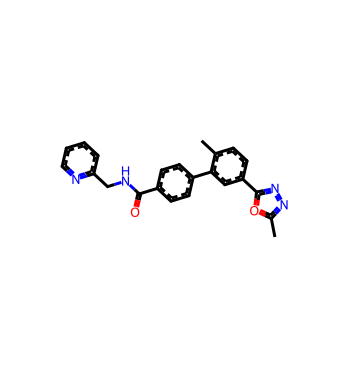 Cc1nnc(-c2ccc(C)c(-c3ccc(C(=O)NCc4ccccn4)cc3)c2)o1